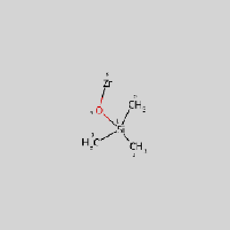 C[Si](C)(C)[O][Zr]